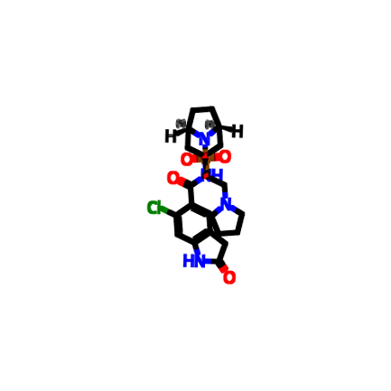 O=C1Cc2cc(C(=O)NC3C[C@H]4CC[C@@H](C3)N4S(=O)(=O)CCN3CCCC3)c(Cl)cc2N1